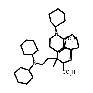 CC1(CCN(C2CCCCC2)C2CCCCC2)C(CCN(C2CCCCC2)C2CCCCC2)=C(C(=O)O)C=CC1C(=O)O